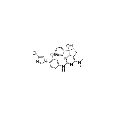 COc1cc(Nc2nc(N(C)C)c3c(n2)C(O)(c2ccccc2)CC3)ccc1-n1cnc(Cl)c1